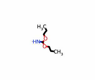 CCCOC([NH])OCCC